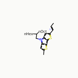 C/C=C/c1cc2c(s1)c1sc(C)cc1n2CC(CCCCCC)CCCCCCCC